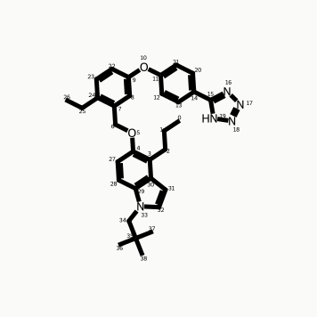 CCCc1c(OCc2cc(Oc3ccc(-c4nnn[nH]4)cc3)ccc2CC)ccc2c1ccn2CC(C)(C)C